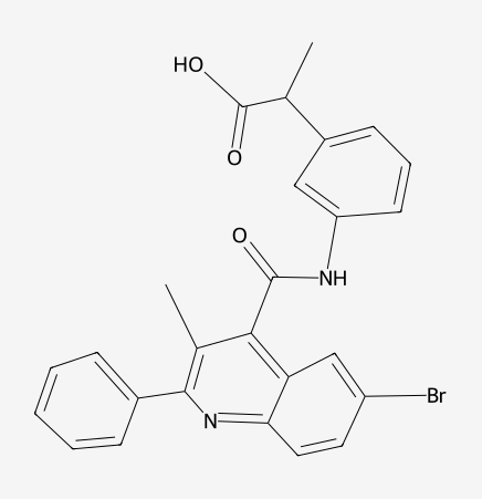 Cc1c(-c2ccccc2)nc2ccc(Br)cc2c1C(=O)Nc1cccc(C(C)C(=O)O)c1